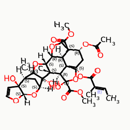 C/C=C(\C)C(=O)O[C@H]1C[C@@H](OC(C)=O)[C@@]2(C(=O)OC)CO[C@H]3[C@H]4O[C@]5(C)[C@H]6C[C@H](O[C@@H]7OC=C[C@@]76O)[C@]5(O)[C@@]4(C)[C@H]4[C@]1(CO[C@]4(O)C(=O)OC)[C@@H]32